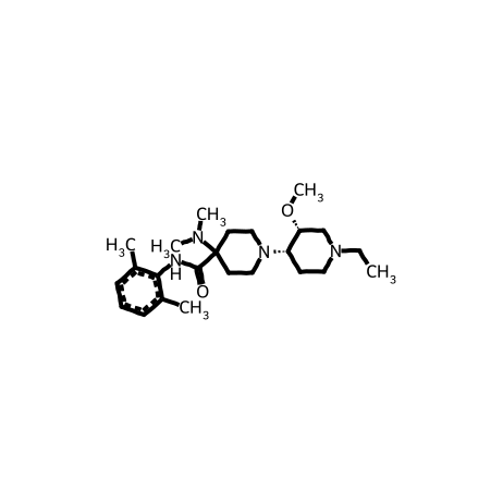 CCN1CC[C@H](N2CCC(C(=O)Nc3c(C)cccc3C)(N(C)C)CC2)[C@H](OC)C1